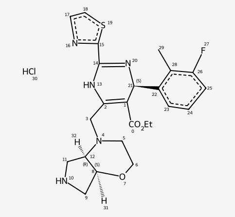 CCOC(=O)C1=C(CN2CCO[C@H]3CNC[C@H]32)NC(c2nccs2)=N[C@H]1c1cccc(F)c1C.Cl